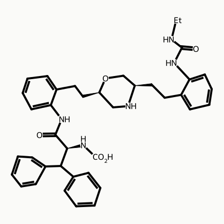 CCNC(=O)Nc1ccccc1CC[C@@H]1CO[C@H](CCc2ccccc2NC(=O)[C@@H](NC(=O)O)C(c2ccccc2)c2ccccc2)CN1